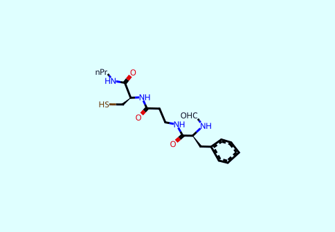 CCCNC(=O)[C@H](CS)NC(=O)CCNC(=O)[C@H](Cc1ccccc1)NC=O